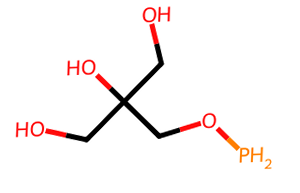 OCC(O)(CO)COP